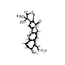 CCC1(O)C(=O)OCc2c1cc1n(c2=O)Cc2cc3c(CC(=O)O)c(N)ccc3nc2-1